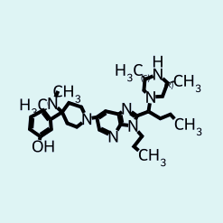 CCCC(c1nc2cc(N3CCC(c4cccc(O)c4)(N(C)C)CC3)cnc2n1CCC)N1C[C@@H](C)N[C@@H](C)C1